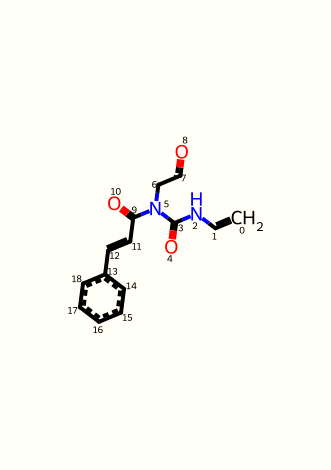 C=CNC(=O)N(C[C]=O)C(=O)/C=C/c1ccccc1